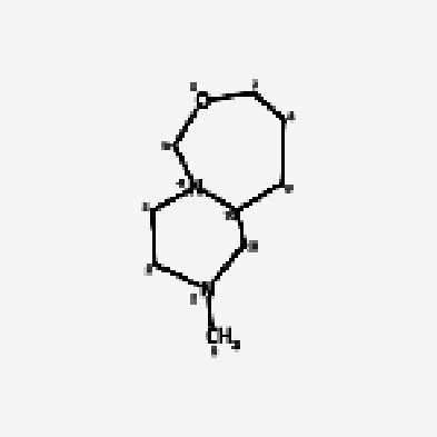 CN1CCN2COCCCC2C1